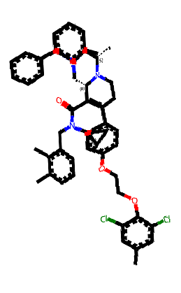 CCN(Cc1ccccc1)C[C@H]1C(C(=O)N(Cc2cccc(C)c2C)C2CC2)=C(c2ccc(OCCOc3c(Cl)cc(C)cc3Cl)cc2)CCN1[C@@H](C)c1ccccc1